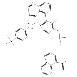 CC(C)(C)c1ccc(S(=O)(=O)Nc2ccc(OC(F)(F)F)c(Cl)c2-c2cccc3ncccc23)cc1.O=C(O)c1cccc2cccnc12